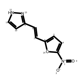 O=[N+]([O-])c1ccc(C=Cc2cc[nH]n2)o1